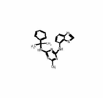 CC(C)(Nc1nc(O)nc(Nc2cccc3ncsc23)n1)c1ccccc1